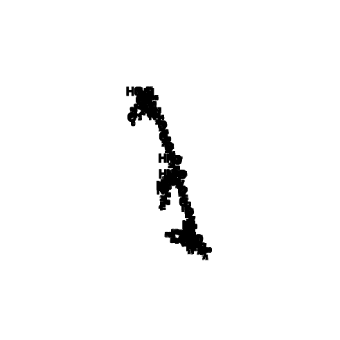 COc1ccc(S(=O)(=O)N(Cc2cn(CCOCCOCCOCCNC(=O)CCC(NC(=O)Cn3cc(CCCF)nn3)C(=O)NCCOCCOCCOCCn3cc(CN([C@@H](C(=O)NOC(C)(C)C)C(C)C)S(=O)(=O)c4ccc(C)cc4)nn3)nn2)[C@@H](C(=O)NO)C(C)C)cc1